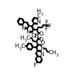 CCCC(C(=O)OC(=O)C(CCCC(F)(F)F)c1c(C)nc2nc3ccccc3cc2c1-c1ccc(C)nc1)c1c(-c2ccc(C)cc2)c2cc3cc(F)ccc3nc2n(CCC)c1=O